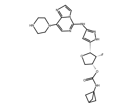 O=C(NC12CC(C1)C2)O[C@@H]1CO[C@H](c2cc(Nc3ncc(N4CCNCC4)c4nccn34)n[nH]2)[C@@H]1F